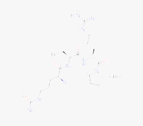 CC(C)C[C@H](NC(=O)[C@@H](N)CCCNC(N)=O)C(=O)N[C@@H](CCCNC(=N)N)C(=O)N1CCC[C@H]1[C]=O